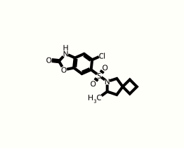 CC1CC2(CCC2)CN1S(=O)(=O)c1cc2oc(=O)[nH]c2cc1Cl